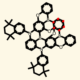 CC1(C)CCC(C)(C)c2cc(N3c4cccc5c4B(c4c3cc3c6c4Oc4ccccc4B6c4ccccc4O3)c3c(cc4c6c3Oc3ccccc3B6c3ccccc3O4)N5c3ccc4c(c3)C(C)(C)CCC4(C)C)ccc21